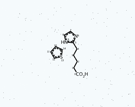 O=C(O)CCCCc1ncc[nH]1.c1ccsc1